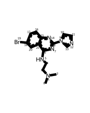 CN(C)CCNc1nc(-n2ccnc2)nc2ccc(Br)cc12